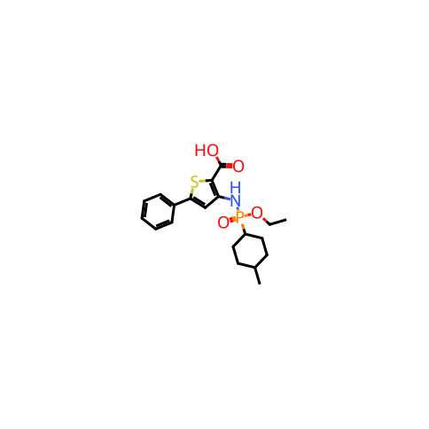 CCOP(=O)(Nc1cc(-c2ccccc2)sc1C(=O)O)C1CCC(C)CC1